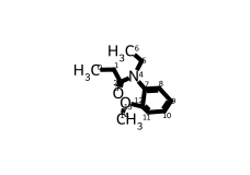 CCC(=O)N(CC)c1ccccc1OC